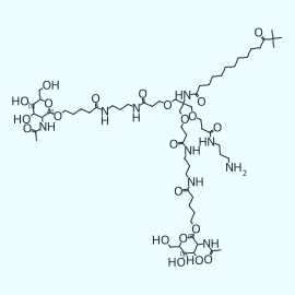 CC(=O)NC1C(O)[C@H](O)C(CO)O[C@H]1OCCCCC(=O)NCCCNC(=O)CCOCC(COCCC(=O)NCCCN)(COCCC(=O)NCCCNC(=O)CCCCO[C@@H]1OC(CO)[C@@H](O)C(O)C1NC(C)=O)NC(=O)CCCCCCCCCCC(=O)C(C)(C)C